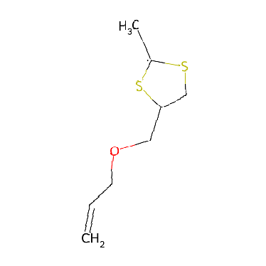 C=CCOCC1CS[C](C)S1